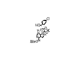 CON=c1nc[nH]c2c1ccn2[C@@H]1O[C@H](C(O)c2ccc(Cl)cc2)[C@@]2(C)OC(C)(C)O[C@@H]12